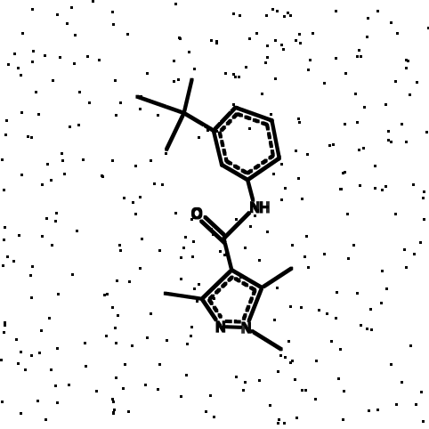 Cc1nn(C)c(C)c1C(=O)Nc1cccc(C(C)(C)C)c1